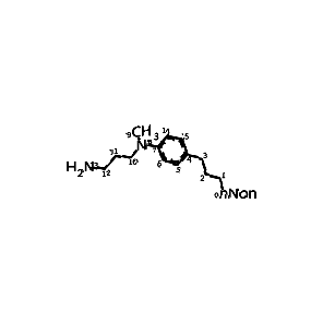 CCCCCCCCCCCCc1ccc(N(C)CCCN)cc1